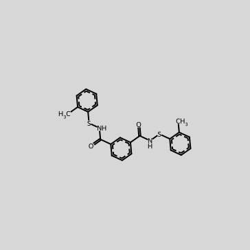 Cc1ccccc1SNC(=O)c1cccc(C(=O)NSc2ccccc2C)c1